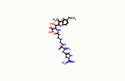 CCc1ccc2oc(C(O)C(NC(=O)CCCCNC(=O)C(N)CC3=CCN(C(=N)N)C3)C(=O)O)c(C)c2c1